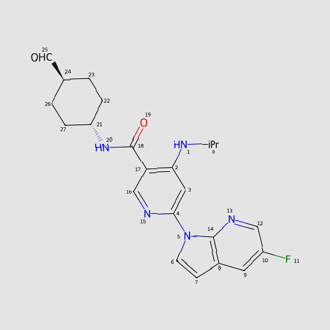 CC(C)Nc1cc(-n2ccc3cc(F)cnc32)ncc1C(=O)N[C@H]1CC[C@H](C=O)CC1